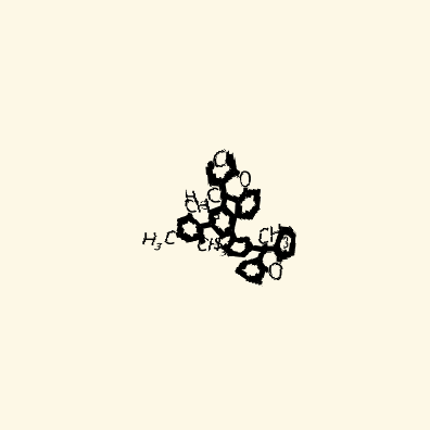 Cc1cc(C)c(-c2cc(C3(C)c4ccccc4Oc4ccccc43)cc3c2sc2ccc(C4(C)c5ccccc5Oc5ccccc54)cc23)c(C)c1